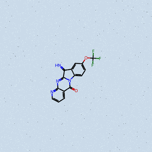 N=C1c2cc(OC(F)(F)F)ccc2-n2c1nc1ncccc1c2=O